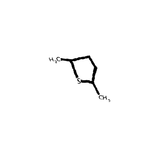 CC1CCC(C)S1